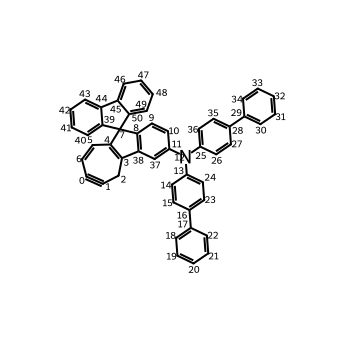 C1#CCC2=C(C=C1)C1(c3ccc(N(c4ccc(-c5ccccc5)cc4)c4ccc(-c5ccccc5)cc4)cc32)c2ccccc2-c2ccccc21